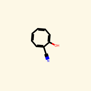 N#CC1=C/C=C\C=C/C=C\1O